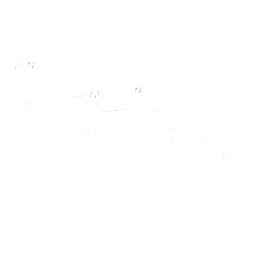 NC(=O)CCNC(=O)c1cc(-c2ccc(F)cc2)on1